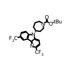 CC(C)(C)OC(=O)N1CCC[C@@H](n2c3ccc(C(F)(F)F)cc3c3nc(C(F)(F)F)ccc32)CC1